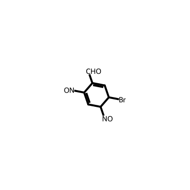 O=CC1=CC(Br)C(N=O)C=C1N=O